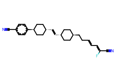 N#CC(F)=CC=CCC[C@H]1CC[C@H](/C=C/[C@H]2CC[C@H](c3ccc(C#N)cc3)CC2)CC1